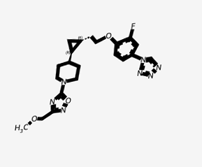 COCc1noc(N2CCC([C@H]3C[C@@H]3CCOc3ccc(-n4cnnn4)cc3F)CC2)n1